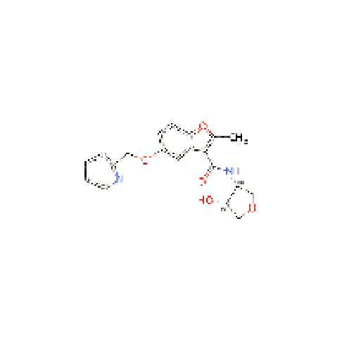 Cc1oc2ccc(OCc3ccccn3)cc2c1C(=O)N[C@@H]1COC[C@@H]1O